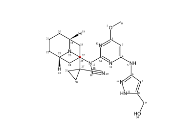 COc1cc(Nc2cc(CO)[nH]n2)nc(N(C)C2C[C@H]3CCC[C@@H](C2)N3CC2(C#N)CC2)n1